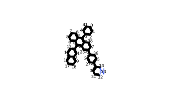 c1ccc(-c2c3ccccc3c(-c3ccc4ccccc4c3)c3cc(-c4ccc(-c5cccnc5)cc4)ccc23)cc1